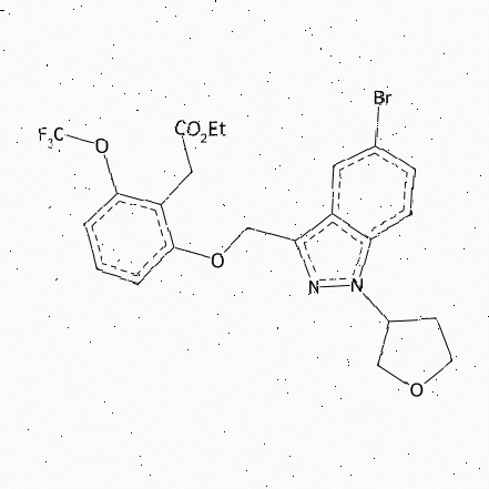 CCOC(=O)Cc1c(OCc2nn(C3CCOC3)c3ccc(Br)cc23)cccc1OC(F)(F)F